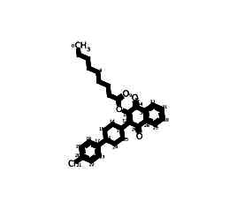 CCCCCCCCC(=O)OC1=C(C2CCC(c3ccc(Cl)cc3)CC2)C(=O)c2ccccc2C1=O